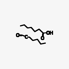 CCCCCCC(=O)O.CCCCCCC=O